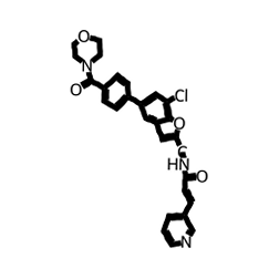 O=C(C=Cc1cccnc1)NCc1cc2cc(-c3ccc(C(=O)N4CCOCC4)cc3)cc(Cl)c2o1